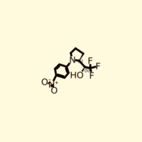 O=[N+]([O-])c1ccc(N2CCC[C@H]2[C@H](O)C(F)(F)F)cc1